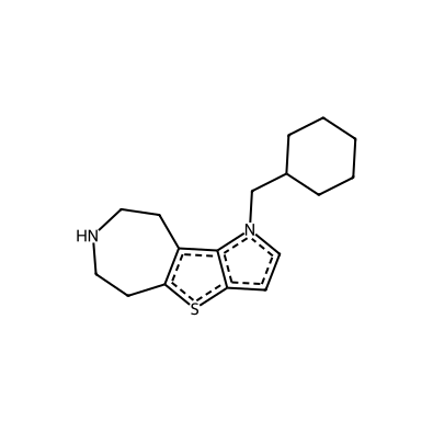 c1cn(CC2CCCCC2)c2c3c(sc12)CCNCC3